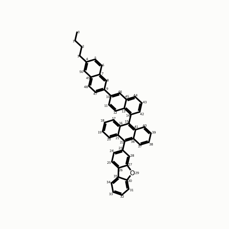 CCCCc1ccc2cc(-c3ccc4c(-c5c6ccccc6c(-c6ccc7c(c6)oc6ccccc67)c6ccccc56)cccc4c3)ccc2c1